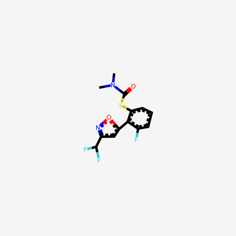 CN(C)C(=O)Sc1cccc(F)c1-c1cc(C(F)F)no1